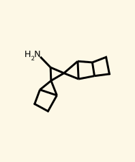 NC1C2(C3CCC32)C12C1C3CCC3C12